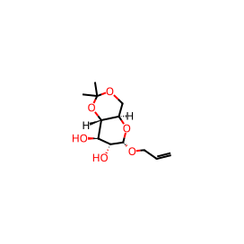 C=CCO[C@H]1O[C@@H]2COC(C)(C)O[C@H]2[C@H](O)[C@H]1O